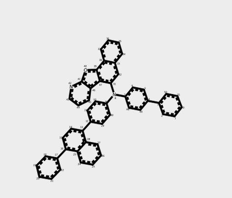 c1ccc(-c2ccc(N(c3ccc(-c4ccc(-c5ccccc5)c5ccccc45)cc3)c3cc4ccccc4c4oc5ncccc5c34)cc2)cc1